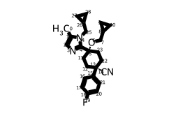 Cc1cnc([C@]2(OCC3CC3)CC[C@](C#N)(c3ccc(F)cc3)CC2)n1CC1CC1